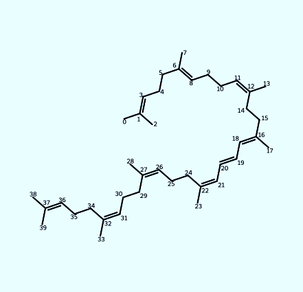 CC(C)=CCCC(C)=CCCC=C(C)CCC(C)=CC=CC=C(C)CCC=C(C)CCC=C(C)CCC=C(C)C